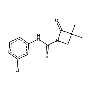 CC1(C)CN(C(=S)Nc2cccc(Cl)c2)C1=O